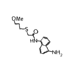 COCCCSCC(=O)Nc1cccc2c(N)cccc12